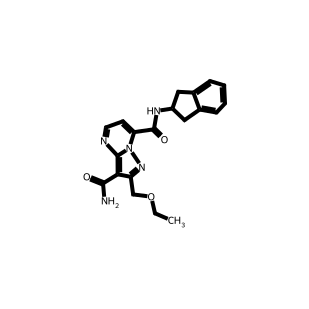 CCOCc1nn2c(C(=O)NC3Cc4ccccc4C3)ccnc2c1C(N)=O